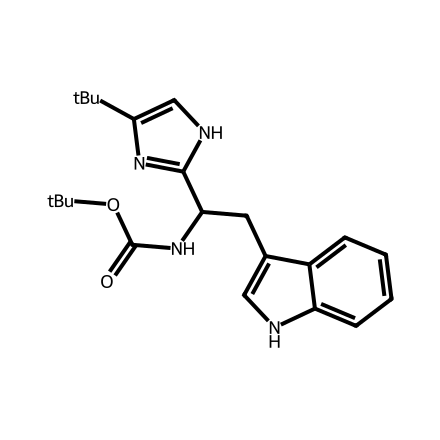 CC(C)(C)OC(=O)NC(Cc1c[nH]c2ccccc12)c1nc(C(C)(C)C)c[nH]1